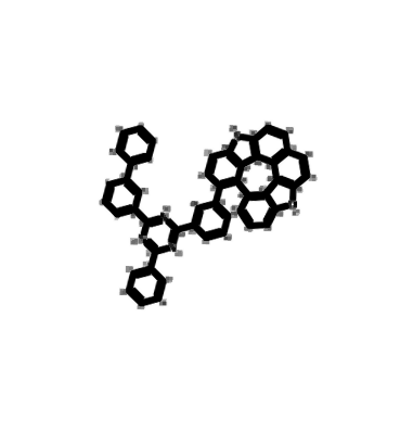 c1ccc(-c2cccc(-c3nc(-c4ccccc4)nc(-c4cccc(-c5ccc6sc7ccc8ccc9oc%10cccc%11c%10c9c8c7c6c5-%11)c4)n3)c2)cc1